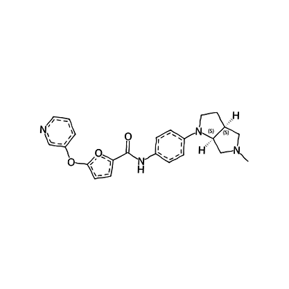 CN1C[C@@H]2CCN(c3ccc(NC(=O)c4ccc(Oc5cccnc5)o4)cc3)[C@@H]2C1